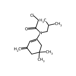 C=C1C=C(N(CC(C)C)C(=O)CCl)CC(C)(C)C1